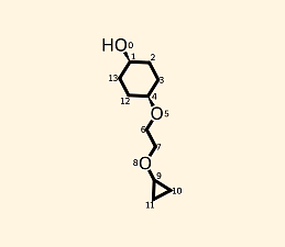 O[C@H]1CC[C@@H](OCCOC2CC2)CC1